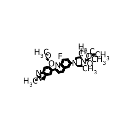 COCOc1cc2nn(C)cc2cc1-c1ccc2cc(N3C[C@H](C)N(C(=O)OC(C)(C)C)[C@@H](C)C3)cc(F)c2n1